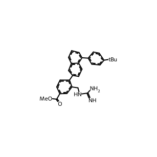 COC(=O)c1ccc(-c2ccc3c(-c4ccc(C(C)(C)C)cc4)cccc3c2)c(CNC(=N)N)c1